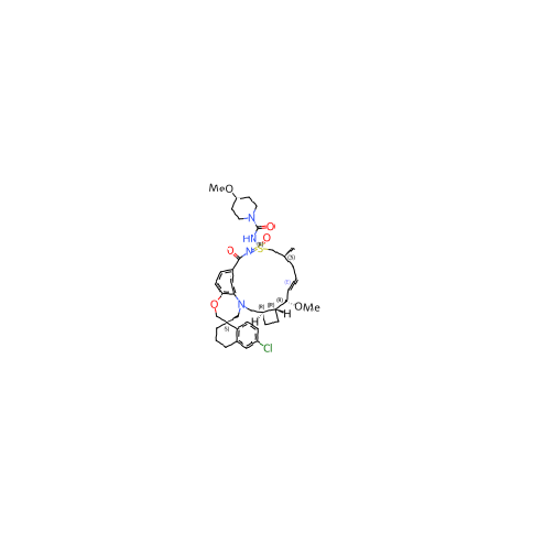 COC1CCN(C(=O)N[S@@]2(=O)=NC(=O)c3ccc4c(c3)N(C[C@@H]3CC[C@H]3[C@@H](OC)/C=C/C[C@H](C)C2)C[C@@]2(CCCc3cc(Cl)ccc32)CO4)CC1